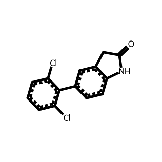 O=C1Cc2cc(-c3c(Cl)cccc3Cl)ccc2N1